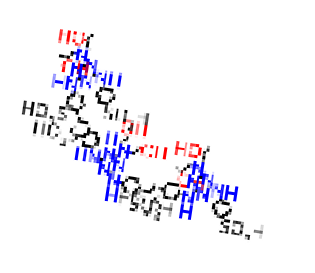 CC(O)CN(CC(C)O)c1nc(Nc2ccc(S(=O)(=O)O)cc2)nc(Nc2ccc(/C=C/c3ccc(NC4=NC(N(CCO)CCO)NC(Nc5ccc(/C=C/c6ccc(Nc7nc(Nc8ccc(S(=O)(=O)O)cc8)nc(N(CC(C)O)CC(C)O)n7)cc6S(=O)(=O)O)c(S(=O)(=O)O)c5)=N4)cc3S(=O)(=O)O)c(S(=O)(=O)O)c2)n1